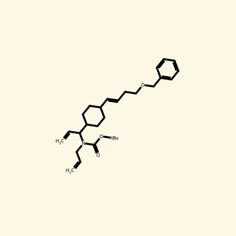 C=CCN(C(=O)OC(C)(C)C)C(C=C)C1CCC(C=CCCOCc2ccccc2)CC1